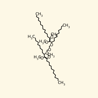 CCCCCCCCCCCCC(OC)=C(OC)C(CCCCCCCCC)OCOCOC(CCCCCCCCC)C(OC)=C(CCCCCCCCCCCC)OC